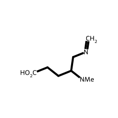 C=NCC(CCC(=O)O)NC